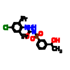 CC(C)c1cc(Cl)cc(C(C)C)c1NC(=O)NS(=O)(=O)c1cccc(C(C)O)c1